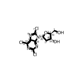 OC[C@@H]1O[C@@H](n2c(Cl)nc3c(Cl)nc(Cl)nc32)C[C@H]1O